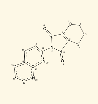 O=C1C2=C(SCCO2)C(=O)N1c1ccc2cccnc2n1